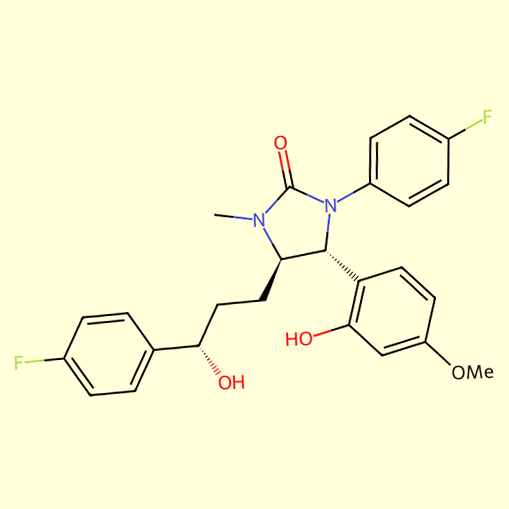 COc1ccc([C@@H]2[C@@H](CC[C@H](O)c3ccc(F)cc3)N(C)C(=O)N2c2ccc(F)cc2)c(O)c1